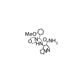 COc1ccccc1C(CNc1c(C(N)=O)cnn2cccc12)N1CCOCC1